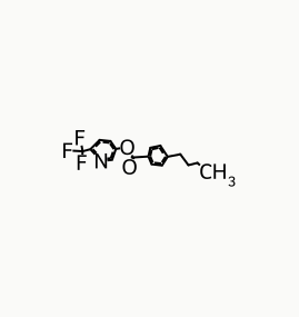 CCCCc1ccc(C(=O)Oc2ccc(C(F)(F)F)nc2)cc1